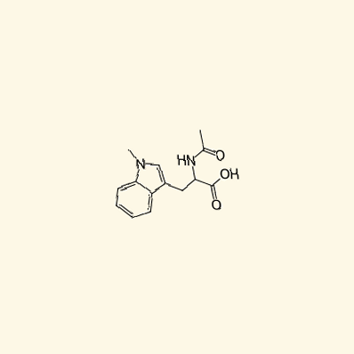 CC(=O)NC(Cc1cn(C)c2ccccc12)C(=O)O